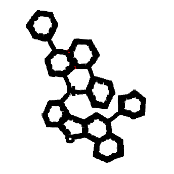 c1ccc(-c2ccc(N(c3ccccc3-c3ccccc3)c3cccc4oc5c6ccccc6c(-c6ccccc6)cc5c34)cc2)cc1